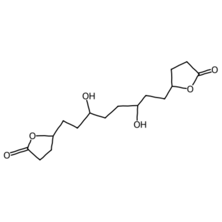 O=C1CCC(CCC(O)CCC(O)CCC2CCC(=O)O2)O1